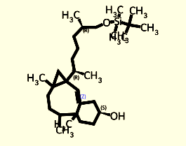 CC1CCC2(C)CC2([C@H](C)CCC[C@@H](C)CO[Si](C)(C)C(C)(C)C)/C=C2/C[C@@H](O)CCC21C